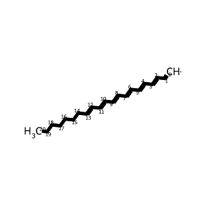 [CH]=CC=CC=CC=CC=CC=CC=CCCCCCCC